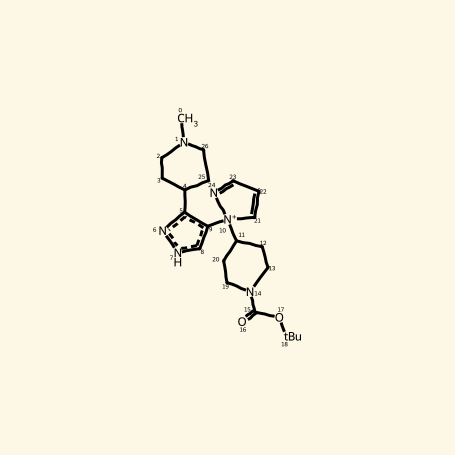 CN1CCC(c2n[nH]cc2[N+]2(C3CCN(C(=O)OC(C)(C)C)CC3)C=[C]C=N2)CC1